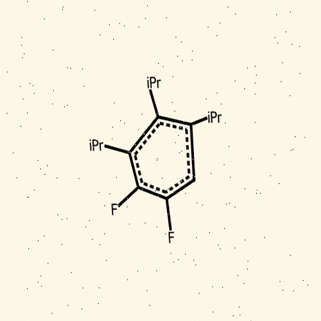 CC(C)c1cc(F)c(F)c(C(C)C)c1C(C)C